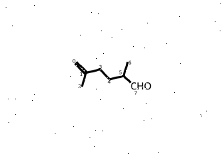 C=C(C)CCC(C)C=O